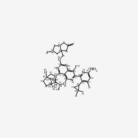 C=C1CN2C[C@H](F)CC2(COc2nc3c4c(nc(-c5nc(N)cc(C)c5C5CC5(C)C)c(F)c4n2)O[C@@H](C)[C@@H]2[C@@H]4CC[C@H](CN32)N4)C1